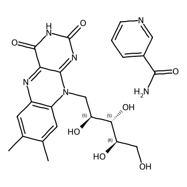 Cc1cc2nc3c(=O)[nH]c(=O)nc-3n(C[C@H](O)[C@H](O)[C@H](O)CO)c2cc1C.NC(=O)c1cccnc1